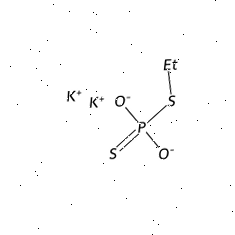 CCSP([O-])([O-])=S.[K+].[K+]